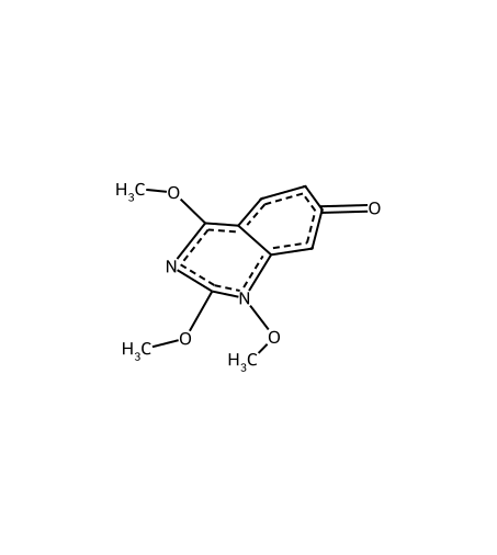 COc1nc(OC)n(OC)c2cc(=O)ccc1-2